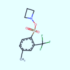 Cc1ccc(S(=O)(=O)ON2CCC2)c(C(F)(F)F)c1